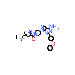 CC(C)C[C@@H](N)C(=O)N1CCC(n2ncc3c(N)nc(-c4ccc(Oc5ccccc5)cc4)nc32)CC1